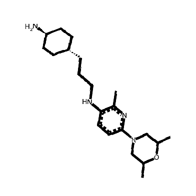 Cc1nc(N2CC(C)OC(C)C2)ccc1NCCC[C@H]1CC[C@H](N)CC1